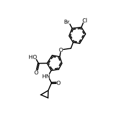 O=C(O)c1cc(OCc2ccc(Cl)c(Br)c2)ccc1NC(=O)C1CC1